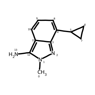 Cn1nc2c(C3CC3)cccc2c1N